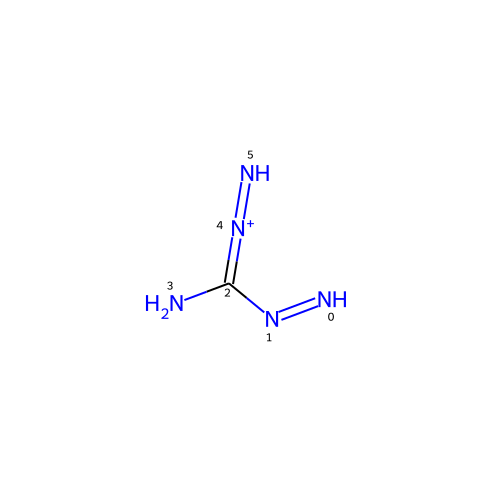 N=NC(N)=[N+]=N